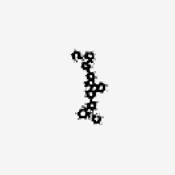 CC1(C)c2cc(-c3ccc4c(c3)C3(C)CCCCC3(C)N4c3ccccn3)ccc2-c2c1c1ccc(-c3ccc4c(c3)C3(C)CCCCC3(C)N4c3ccccn3)cc1c1ccccc21